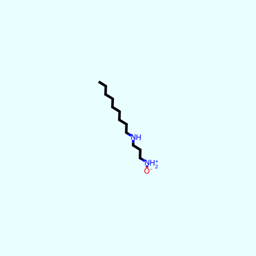 CCCCCCCCCNCCC[NH2+][O-]